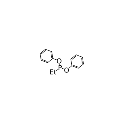 CCP(Oc1ccccc1)Oc1ccccc1